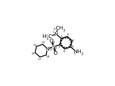 CN(C)c1ccc(N)cc1S(=O)(=O)N1CCCCC1